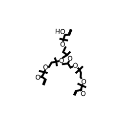 C=CC(=O)C(C)(C)OCCC(C)(C)OCC(COC(C)(C)CCOC(C)(C)C(=O)C=C)OC(C)(C)CCOC(C)(C)C(O)C=C